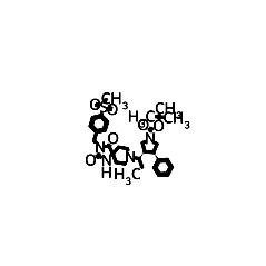 CCC([C@@H]1CN(C(=O)OC(C)(C)C)C[C@@H]1c1ccccc1)N1CCC2(CC1)NC(=O)N(Cc1ccc(S(C)(=O)=O)cc1)C2=O